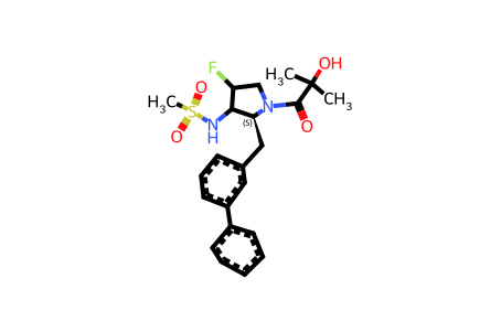 CC(C)(O)C(=O)N1CC(F)C(NS(C)(=O)=O)[C@@H]1Cc1cccc(-c2ccccc2)c1